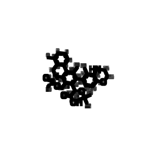 Cc1cccc2c1CN(S(C)(=O)=O)c1c(C)c([C@H](OC(C)(C)C)C(=O)O)c(-c3ccc4c(c3C)NCCO4)c(C)c1-2